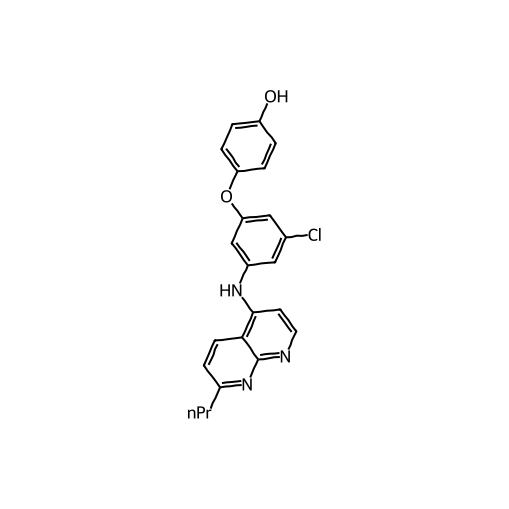 CCCc1ccc2c(Nc3cc(Cl)cc(Oc4ccc(O)cc4)c3)ccnc2n1